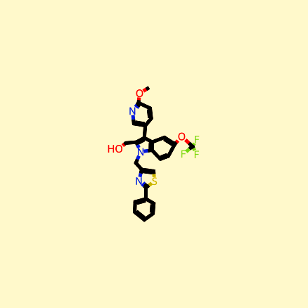 COc1ccc(-c2c(CO)n(Cc3csc(-c4ccccc4)n3)c3ccc(OC(F)(F)F)cc23)cn1